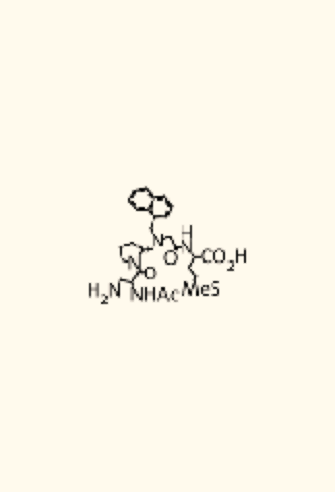 CSCCC(NC(=O)CN(Cc1cccc2ccccc12)C[C@@H]1CCCN1C(=O)C(CN)NC(C)=O)C(=O)O